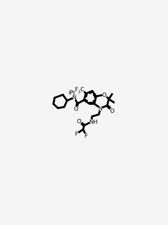 CC(C)N(C(=O)c1cc2c(cc1C(F)(F)F)OC(C)(C)C(=O)N2CCNC(=O)C(F)F)C1CCCCC1